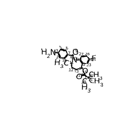 Cc1cc(N)ccc1C(=O)N1CCCC(OC(=O)C(C)(C)C)c2cc(F)ccc21